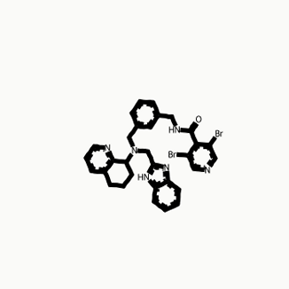 O=C(NCc1cccc(CN(Cc2nc3ccccc3[nH]2)C2CCCc3cccnc32)c1)c1c(Br)cncc1Br